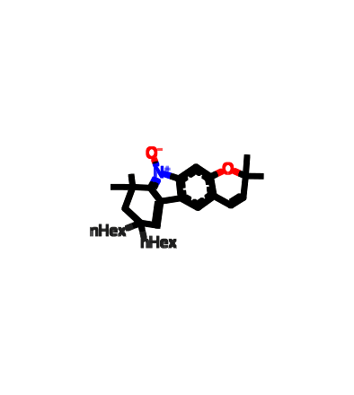 CCCCCCC1(CCCCCC)C=C2C(=[N+]([O-])c3cc4c(cc32)C=CC(C)(C)O4)C(C)(C)C1